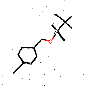 C[C]1CCC(CO[Si](C)(C)C(C)(C)C)CC1